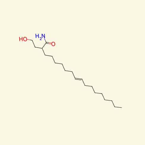 CCCCCCCCC=CCCCCCCC(CCO)C(N)=O